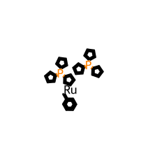 C1CCC(P(C2CCCC2)C2CCCC2)C1.C1CCC(P(C2CCCC2)C2CCCC2)C1.[Ru]=[CH]c1ccccc1